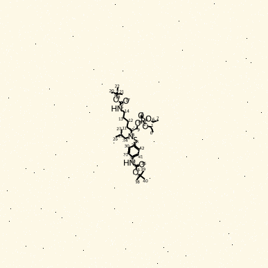 CCOP(=O)(OCC)OC[C@H](CCCCNC(=O)OC(C)(C)C)N(CC(C)C)Sc1ccc(NC(=O)OC(C)(C)C)cc1